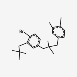 Cc1ccc(CC(C)(C)Cc2ccc(Br)c(CC(C)(C)C)c2)cc1C